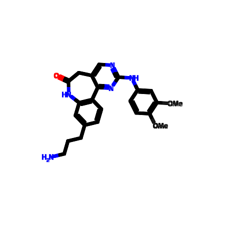 COc1ccc(Nc2ncc3c(n2)-c2ccc(CCCN)cc2NC(=O)C3)cc1OC